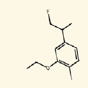 CCOc1cc([C](C)CF)ccc1C